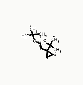 CC(C)(C)OCCC1(C(C)(C)C)CC1